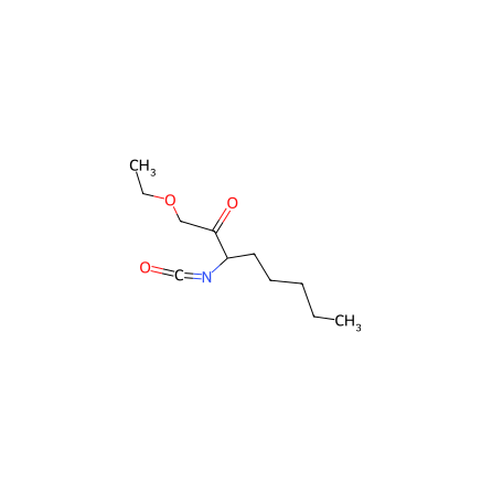 CCCCCC(N=C=O)C(=O)COCC